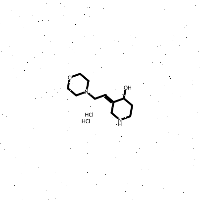 Cl.Cl.OC1CCNC/C1=C\CN1CCOCC1